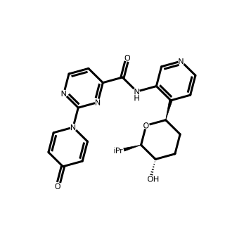 CC(C)[C@H]1O[C@@H](c2ccncc2NC(=O)c2ccnc(-n3ccc(=O)cc3)n2)CC[C@@H]1O